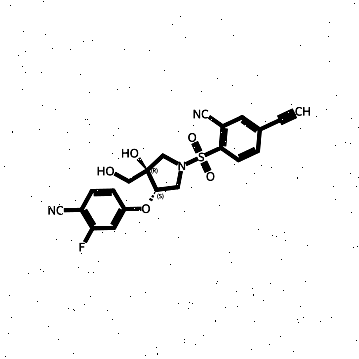 C#Cc1ccc(S(=O)(=O)N2C[C@H](Oc3ccc(C#N)c(F)c3)[C@](O)(CO)C2)c(C#N)c1